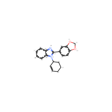 C1=CC(n2c(-c3ccc4c(c3)OCO4)nc3ccccc32)CCC1